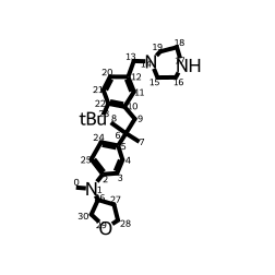 CN(c1ccc(C(C)(C)Cc2cc(CN3CCNCC3)ccc2C(C)(C)C)cc1)C1CCOC1